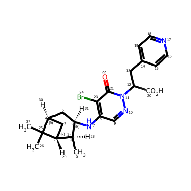 C[C@H]1[C@H]2C[C@H](C[C@H]1Nc1cnn(C(Cc3ccncc3)C(=O)O)c(=O)c1Br)C2(C)C